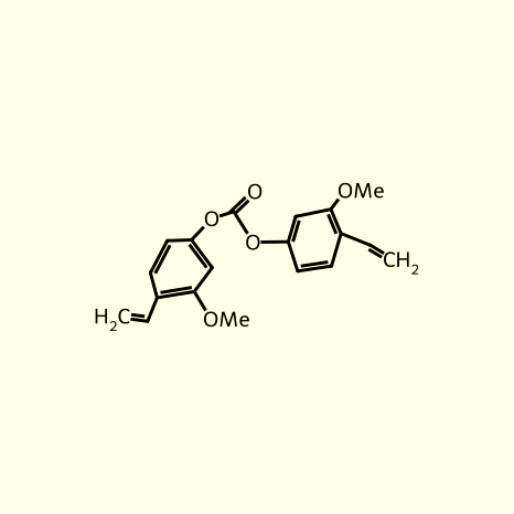 C=Cc1ccc(OC(=O)Oc2ccc(C=C)c(OC)c2)cc1OC